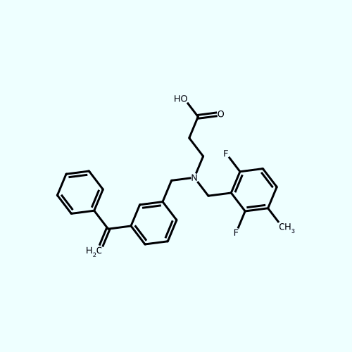 C=C(c1ccccc1)c1cccc(CN(CCC(=O)O)Cc2c(F)ccc(C)c2F)c1